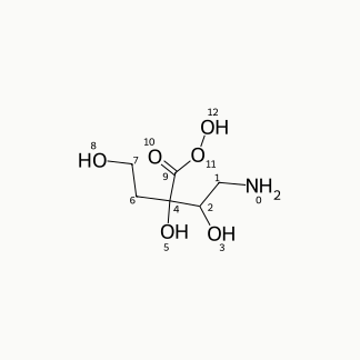 NCC(O)C(O)(CCO)C(=O)OO